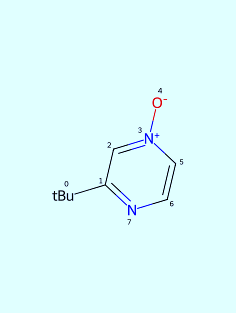 CC(C)(C)c1c[n+]([O-])ccn1